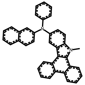 Cn1c2ccc(N(c3ccccc3)c3ccc4ccccc4c3)cc2c2c3ccccc3c3ccccc3c21